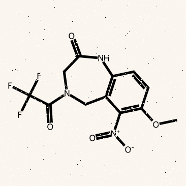 COc1ccc2c(c1[N+](=O)[O-])CN(C(=O)C(F)(F)F)CC(=O)N2